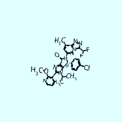 COc1ncccc1-c1nc2c(n1C(C)C)[C@@H](c1ccc(Cl)cc1)N(c1cc(C)c3nnc(C(F)F)n3n1)C2=O